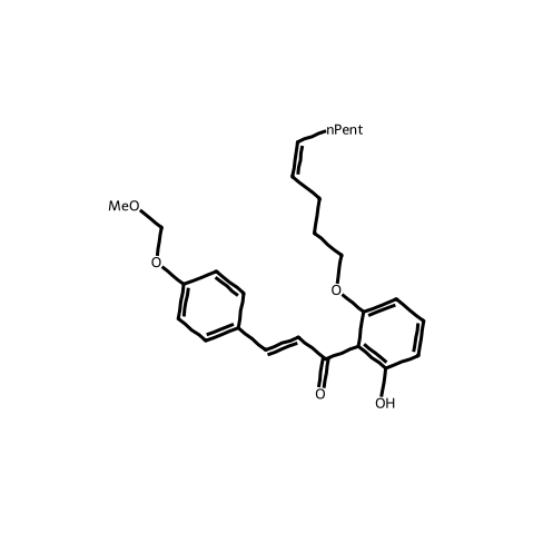 CCCCC/C=C\CCCOc1cccc(O)c1C(=O)C=Cc1ccc(OCOC)cc1